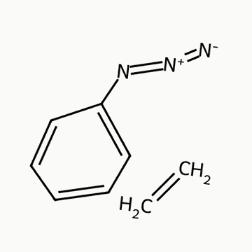 C=C.[N-]=[N+]=Nc1ccccc1